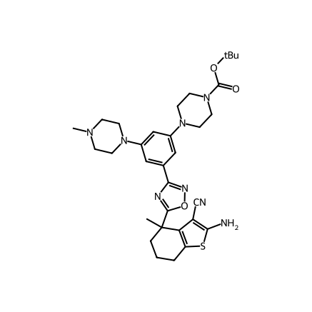 CN1CCN(c2cc(-c3noc(C4(C)CCCc5sc(N)c(C#N)c54)n3)cc(N3CCN(C(=O)OC(C)(C)C)CC3)c2)CC1